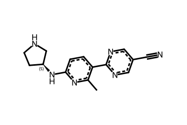 Cc1nc(N[C@H]2CCNC2)ccc1-c1ncc(C#N)cn1